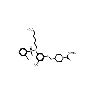 CC(C)(C)OC(=O)N1CCC(COc2cc(N(CCCCCC(=O)O)S(=O)(=O)c3ccccc3Cl)cc(C(F)(F)F)c2)CC1